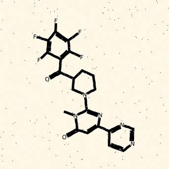 Cn1c(N2CCCC(C(=O)c3c(F)c(F)c(F)c(F)c3F)C2)nc(-c2ccncn2)cc1=O